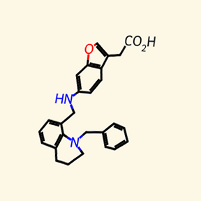 O=C(O)Cc1coc2cc(NCc3cccc4c3N(Cc3ccccc3)CCC4)ccc12